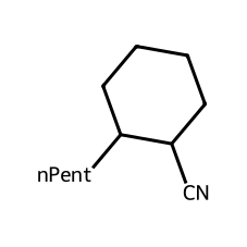 CCCCCC1CCCCC1C#N